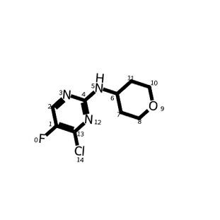 Fc1cnc(NC2CCOCC2)nc1Cl